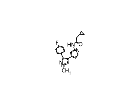 Cn1cc(-c2ccnc(NC(=O)CC3CC3)c2)c(-c2ccc(F)cc2)n1